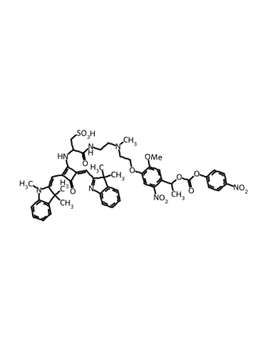 COc1cc(C(C)OC(=O)Oc2ccc([N+](=O)[O-])cc2)c([N+](=O)[O-])cc1OCCN(C)CCNC(=O)C(CS(=O)(=O)O)NC1=C(/C=C2/N(C)c3ccccc3C2(C)C)C(=O)/C1=C\C1=Nc2ccccc2C1(C)C